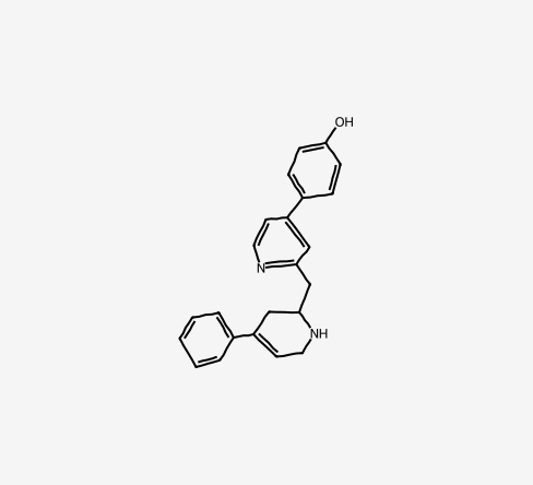 Oc1ccc(-c2ccnc(CC3CC(c4ccccc4)=CCN3)c2)cc1